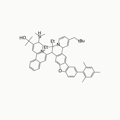 CCC1(CC)C(c2cc3ccccc3c3[n+]2CC([SiH](C)C)C(C(C)(C)O)=C3)c2cc3oc4ccc(-c5c(C)cc(C)cc5C)cc4c3cc2C2C=C(CC(C)(C)C)C=CN21